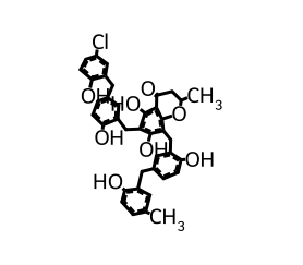 Cc1ccc(O)c(Cc2ccc(O)c(Cc3c(O)c(Cc4cc(Cc5cc(Cl)ccc5O)ccc4O)c(O)c4c3OC(C)CC4=O)c2)c1